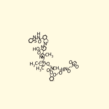 Cc1c(-c2ccc(N3CCc4cccc(C(=O)Nc5nc6ccccc6s5)c4C3)nc2C(=O)O)cnn1CC12CC3(C)CC(C)(C1)CC(OCCN(C)C(=O)OCc1cc[c]cc1OCCOCCNC(=O)CCN1C(=O)C=CC1=O)(C3)C2